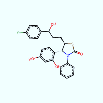 O=C1S[C@H](CCC(O)c2ccc(F)cc2)[C@@H](c2ccc(O)cc2O)N1c1ccccc1